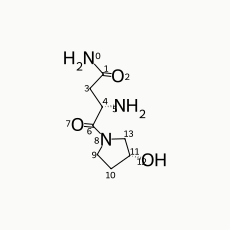 NC(=O)C[C@H](N)C(=O)N1CC[C@@H](O)C1